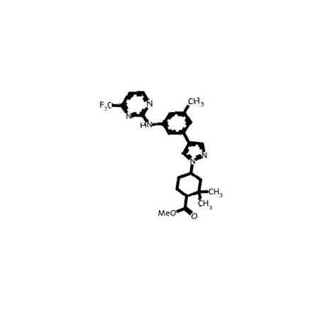 COC(=O)C1CCC(n2cc(-c3cc(C)cc(Nc4nccc(C(F)(F)F)n4)c3)cn2)CC1(C)C